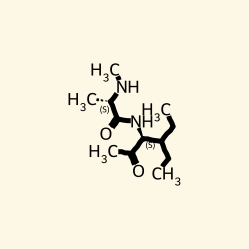 CCC(CC)[C@H](NC(=O)[C@H](C)NC)C(C)=O